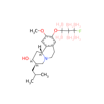 BC(B)(F)C(B)(B)C(B)(B)Oc1cc2c(cc1OC)[C@H]1C[C@@H](O)[C@H](CC(C)C)CN1CC2